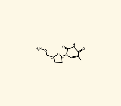 Cc1cn([C@H]2CC[C@@H](CON)O2)c(=O)[nH]c1=O